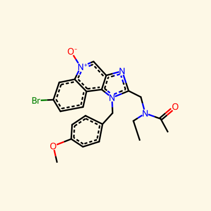 CCN(Cc1nc2c[n+]([O-])c3cc(Br)ccc3c2n1Cc1ccc(OC)cc1)C(C)=O